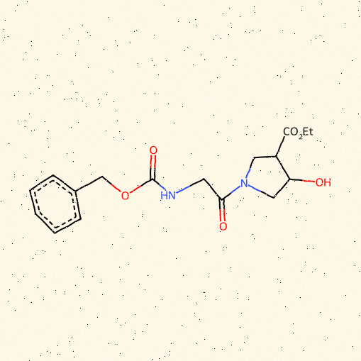 CCOC(=O)C1CN(C(=O)CNC(=O)OCc2ccccc2)CC1O